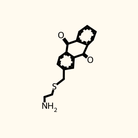 NCCSCc1ccc2c(c1)C(=O)c1ccccc1C2=O